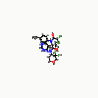 Cc1ccc(N(C(=O)[C@H](F)Cl)[C@@](C)(C(=O)NC2CCOCC2(F)F)c2cncnc2)cc1